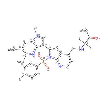 COC(=O)C(C)(C)NCc1ccnc2c1cc(-c1cn(C)c3cc(OC)c(OC)nc13)n2S(=O)(=O)c1ccc(C)cc1